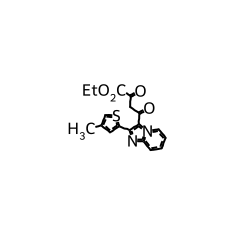 CCOC(=O)C(=O)CC(=O)c1c(-c2cc(C)cs2)nc2ccccn12